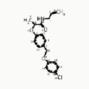 C=CCNC(=O)C(C)Oc1ccc(COc2ccc(Cl)cc2)cc1